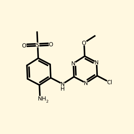 COc1nc(Cl)nc(Nc2cc(S(C)(=O)=O)ccc2N)n1